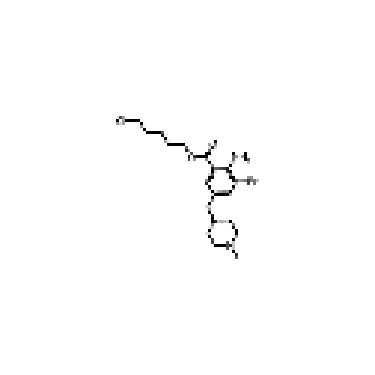 CN1CCN(Cc2cc(Br)c(N)c(C(=O)OCCCCCCl)c2)CC1